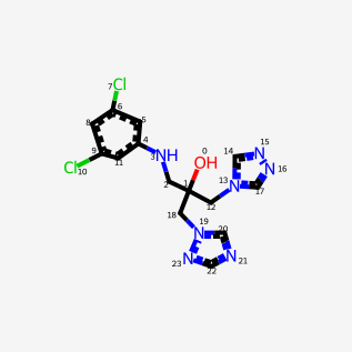 OC(CNc1cc(Cl)cc(Cl)c1)(Cn1cnnc1)Cn1cncn1